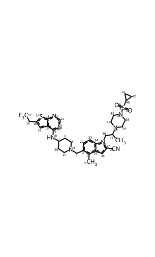 Cc1c(CN2CCC(Nc3ncnc4sc(CC(F)(F)F)cc34)CC2)ccc2c1cc(C#N)n2CC(C)N1CCN(S(=O)(=O)C2CC2)CC1